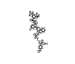 CN(CCCCN(C(=O)O)c1ccc(C=O)cc1)C(=O)CO[C@H]1Cc2ccccc2C12CCN(CC[C@]1(c3ccc(F)cc3)CN(C(=O)c3cc(C(F)(F)F)cc(C(F)(F)F)c3)CO1)CC2